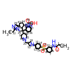 C=CC(=O)Nc1cccc(S(=O)(=O)c2ccc(N3CC(CN4CCC([C@@](Cn5ccnc5CC)(c5cccc(F)c5)[C@H]5CCC[C@@H]5NC(=O)O)CC4)C3)cc2)c1